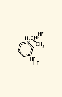 C=C.F.F.F.F.c1ccccc1